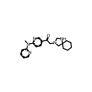 CN(c1ccccn1)c1ccc(C(=O)CN2CNC3(CCCCC3)C2)cn1